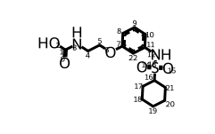 O=C(O)NCCOc1cccc(NS(=O)(=O)C2CCCCC2)c1